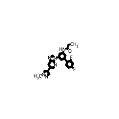 CCC(=O)Nc1cc(-c2ccc(F)cc2F)cc(-n2cnc3cc(-c4cnn(C)c4)cnc32)c1